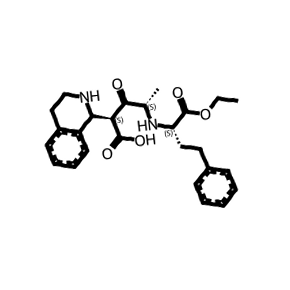 CCOC(=O)[C@H](CCc1ccccc1)N[C@@H](C)C(=O)[C@@H](C(=O)O)C1NCCc2ccccc21